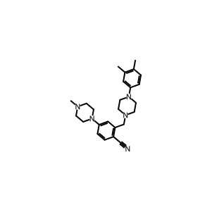 Cc1ccc(N2CCN(Cc3cc(N4CCN(C)CC4)ccc3C#N)CC2)cc1C